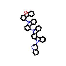 c1ccc2ncc(-n3c4ccccc4c4c5c6ccccc6n(-c6cccc7c6c6ccccc6n7-c6cccc7oc8ccccc8c67)c5ccc43)cc2c1